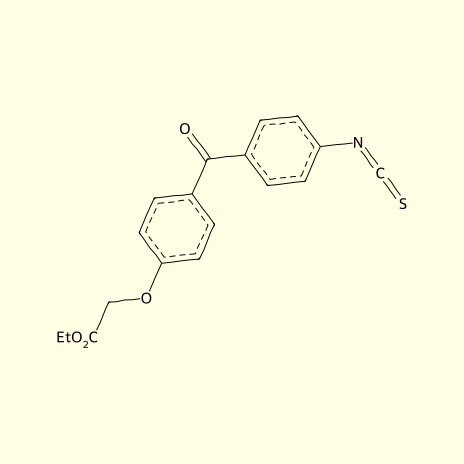 CCOC(=O)COc1ccc(C(=O)c2ccc(N=C=S)cc2)cc1